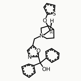 OC(c1ccccc1)(c1ccccc1)c1ncc(C[N+]23CCC(CC2)[C@@H](Oc2cccs2)C3)o1